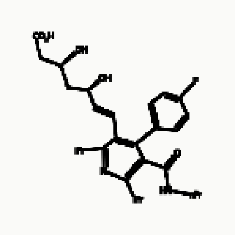 CCCNC(=O)c1c(C(C)C)nc(C(C)C)c(/C=C/[C@H](O)C[C@H](O)CC(=O)O)c1-c1ccc(F)cc1